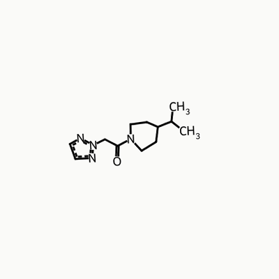 CC(C)C1CCN(C(=O)Cn2nccn2)CC1